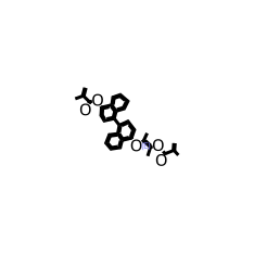 C=C(C)C(=O)O/C(C)=C(\C)Oc1ccc(-c2ccc(OC(=O)C(=C)C)c3ccccc23)c2ccccc12